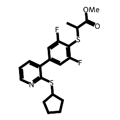 COC(=O)C(C)Sc1c(F)cc(-c2cccnc2SC2CCCC2)cc1F